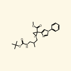 COC(=O)C1(c2cn(-c3ccccc3)cn2)C[C@@H]1CC(C)CNC(=O)OC(C)(C)C